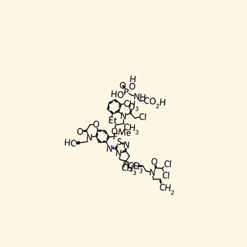 C#CCN1C(=O)COc2cc(F)c(/N=c3\snc4n3CC(C)(C)C4)cc21.C=CCN(CC=C)C(=O)C(Cl)Cl.CCc1cccc(C)c1N(C(=O)CCl)C(C)COC.O=C(O)CNCP(=O)(O)O